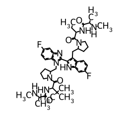 CCC(NC(=O)C(C)NC)C(=O)N1CCCC1Cc1c(-c2nc3cc(F)ccc3n2CC2CCCN2C(=O)C(NC(=O)C(C)NC)C(C)(C)C)[nH]c2cc(F)ccc12